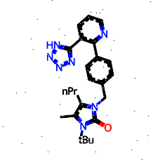 CCCc1c(C)n(C(C)(C)C)c(=O)n1Cc1ccc(-c2ncccc2-c2nnn[nH]2)cc1